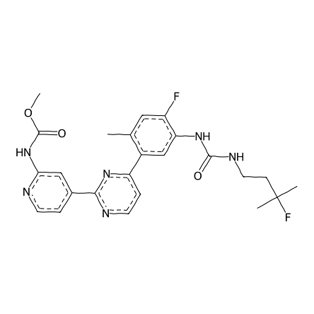 COC(=O)Nc1cc(-c2nccc(-c3cc(NC(=O)NCCC(C)(C)F)c(F)cc3C)n2)ccn1